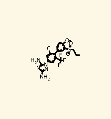 CCCS(=O)(=O)c1cc(-c2c(Cl)cc(-n3nc(N)nc3N)cc2C(F)(F)F)ccc1OC